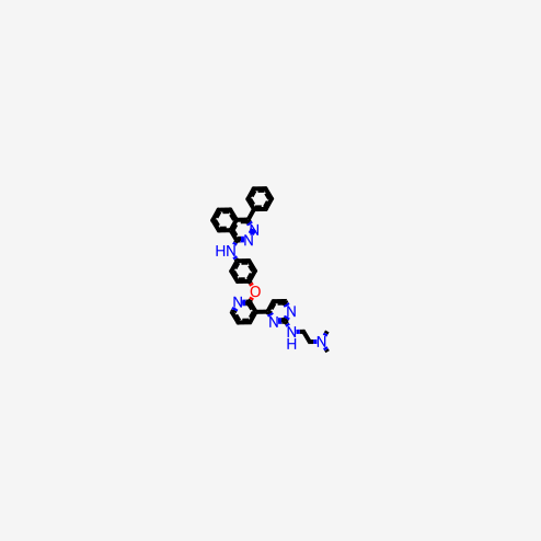 CN(C)CCNc1nccc(-c2cccnc2Oc2ccc(Nc3nnc(-c4ccccc4)c4ccccc34)cc2)n1